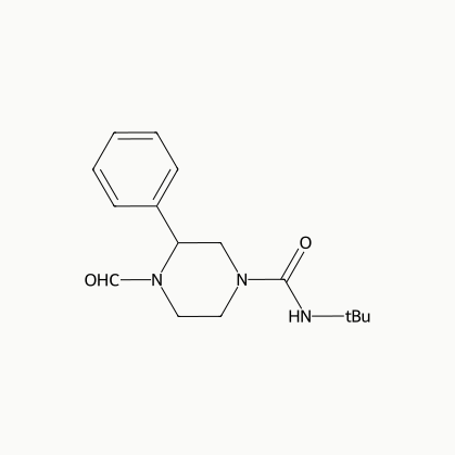 CC(C)(C)NC(=O)N1CCN(C=O)C(c2ccccc2)C1